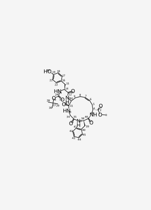 COC(=O)[C@H]1CC=CCCC(NC(=O)[C@H](Cc2ccc(O)cc2)NC(=O)OC(C)(C)C)C(=O)NCC(=O)N[C@H](Cc2ccccc2)C(=O)N1